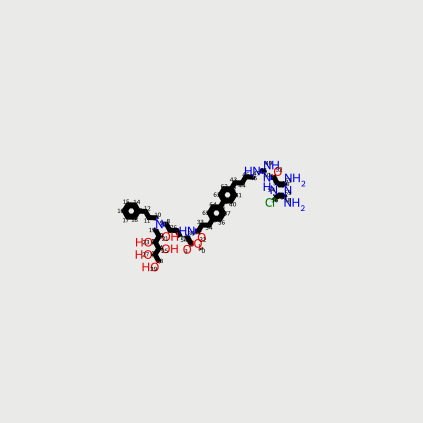 COC(=O)[C@H](CCCCN(CCCc1ccccc1)C[C@H](O)[C@@H](O)[C@H](O)[C@H](O)CO)NC(=O)CCc1ccc(-c2ccc(CCCCNC(=N)NC(=O)c3nc(Cl)c(N)nc3N)cc2)cc1